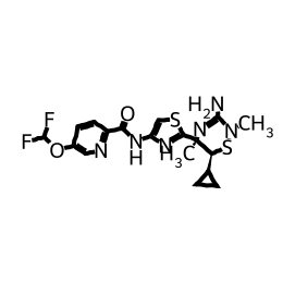 CN1S[C@@H](C2CC2)[C@@](C)(c2nc(NC(=O)c3ccc(OC(F)F)cn3)cs2)N=C1N